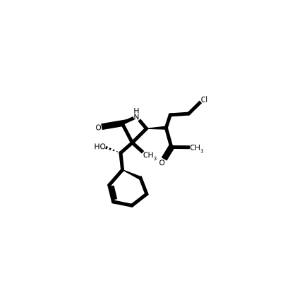 CC(=O)C(CCCl)[C@@H]1NC(=O)C1(C)[C@@H](O)[C@@H]1C=CCCC1